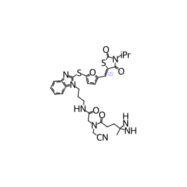 CC(C)N1C(=O)S/C(=C\c2ccc(Sc3nc4ccccc4n3CCCNC(=O)CN(CC#N)C(=O)CCC3(C)NN3)o2)C1=O